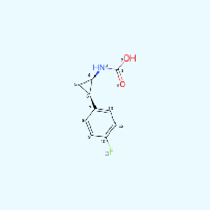 O=C(O)N[C@@H]1C[C@@H]1c1ccc(F)cc1